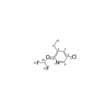 CCc1cc(Cl)cnc1OC(F)F